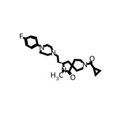 CN1C(=O)C2(CCN(C(=O)C3CC3)CC2)C[C@@H]1CCN1CCN(c2ccc(F)cc2)CC1